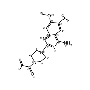 C=C(C)C(=O)N1CCN(c2nc(N)c3cc(OC)c(OC)cc3n2)CC1